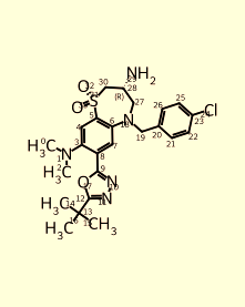 CN(C)c1cc2c(cc1-c1nnc(C(C)(C)C)o1)N(Cc1ccc(Cl)cc1)C[C@@H](N)CS2(=O)=O